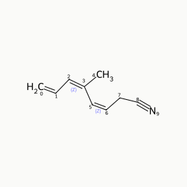 C=C/C=C(C)\C=C/CC#N